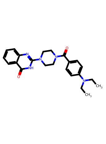 CCN(CC)c1ccc(C(=O)N2CCN(c3nc4ccccc4c(=O)[nH]3)CC2)cc1